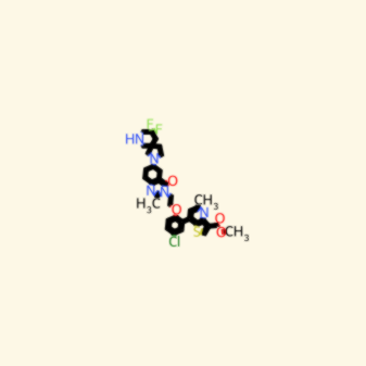 COC(=O)c1csc2c(-c3cc(Cl)ccc3OCCn3c(C)nc4c(c3=O)CC(N3CCC5(CNCC(F)(F)C5)C3)CC4)cc(C)nc12